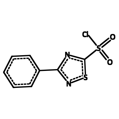 O=S(=O)(Cl)c1nc(-c2ccccc2)ns1